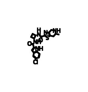 CC1Cc2sc(C(=O)N[C@H]3CC[C@H]3NC(=O)c3cc4cc(Cl)ccc4[nH]3)nc2CN1